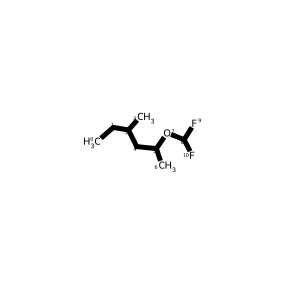 CCC(C)CC(C)OC(F)F